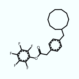 O=C(Cc1ccc(CC2CCCCCCCCC2)cc1)Oc1c(F)c(F)c(F)c(F)c1F